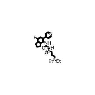 CCN(CC)CCC[S+]([O-])NC(=O)Nc1c(-c2ccncc2)cc(F)c2c1CCC2